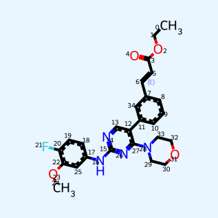 CCOC(=O)/C=C/c1cccc(-c2cnc(Nc3ccc(F)c(OC)c3)nc2N2CCOCC2)c1